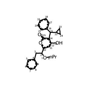 CCCOC(Cc1ccccc1)c1cc(O)c(C(c2ccccc2)C2CC2)c(=O)o1